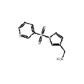 NCc1ccn(S(=O)(=O)c2cccnc2)c1